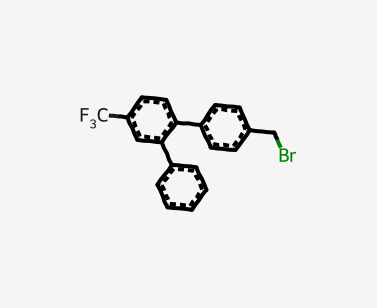 FC(F)(F)c1ccc(-c2ccc(CBr)cc2)c(-c2ccccc2)c1